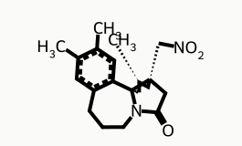 Cc1cc2c(cc1C)[C@@]13C[C@H](C)[C@@H](C[N+](=O)[O-])C1CC(=O)N3CCC2